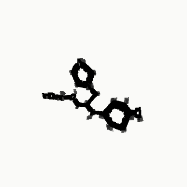 CCCCCCCCCCOCC(Cn1ccnc1)Sc1ccc(Cl)cc1